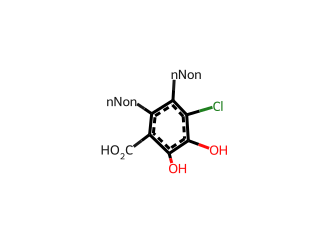 CCCCCCCCCc1c(Cl)c(O)c(O)c(C(=O)O)c1CCCCCCCCC